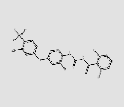 O=C(NC(=O)c1c(F)cccc1F)Nc1ccc(Oc2ccc(C(F)(F)F)c(Cl)c2)cc1F